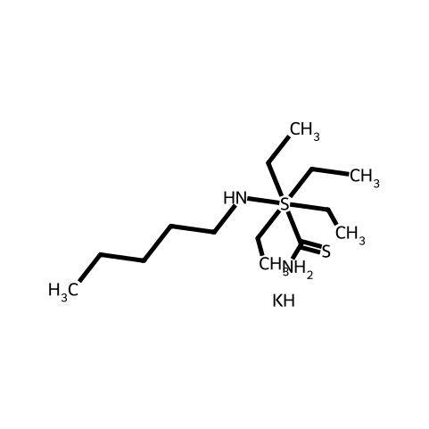 CCCCCNS(CC)(CC)(CC)(CC)C(N)=S.[KH]